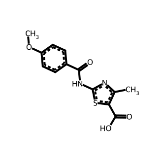 COc1ccc(C(=O)Nc2nc(C)c(C(=O)O)s2)cc1